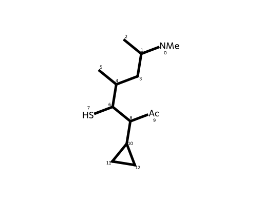 CNC(C)CC(C)C(S)C(C(C)=O)C1CC1